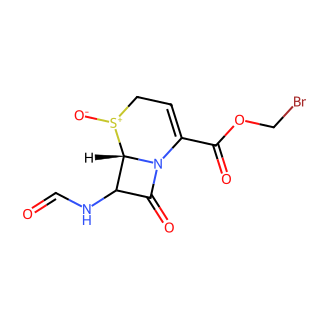 O=CNC1C(=O)N2C(C(=O)OCBr)=CC[S+]([O-])[C@@H]12